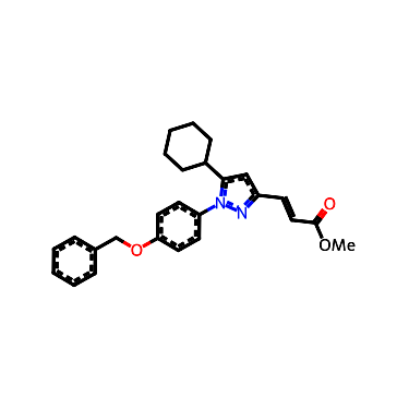 COC(=O)C=Cc1cc(C2CCCCC2)n(-c2ccc(OCc3ccccc3)cc2)n1